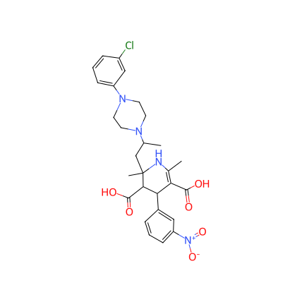 CC1=C(C(=O)O)C(c2cccc([N+](=O)[O-])c2)C(C(=O)O)C(C)(CC(C)N2CCN(c3cccc(Cl)c3)CC2)N1